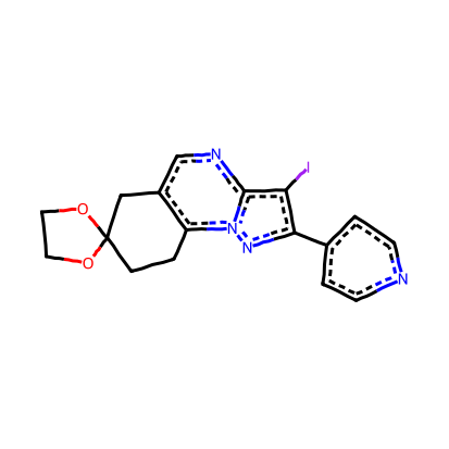 Ic1c(-c2ccncc2)nn2c3c(cnc12)CC1(CC3)OCCO1